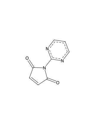 O=C1C=CC(=O)N1c1ncccn1